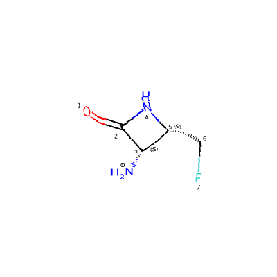 N[C@@H]1C(=O)N[C@@H]1CF